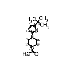 CC(C)(C)c1csc(N2CCN(C(=O)O)CC2)n1